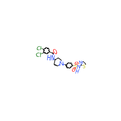 O=C(NC1CCN(c2ccc(S(=O)(=O)NC3=NCCS3)cc2)CC1)c1ccc(Cl)c(Cl)c1